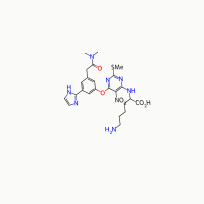 CSc1nc(NC(CCCCN)C(=O)O)c([N+](=O)[O-])c(Oc2cc(CC(=O)N(C)C)cc(-c3ncc[nH]3)c2)n1